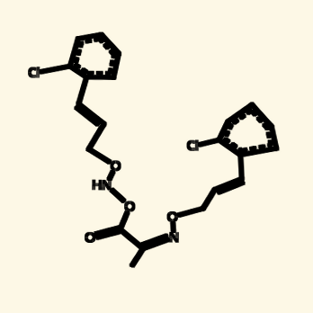 CC(=NOC/C=C/c1ccccc1Cl)C(=O)ONOC/C=C/c1ccccc1Cl